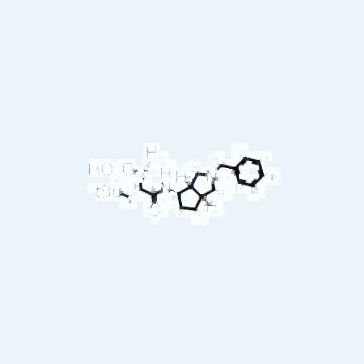 CN(C(=O)O)[C@@H](CC(C)(C)C)C(=O)N[C@@H]1CC[C@H]2CN(Cc3ccccc3)C[C@H]21